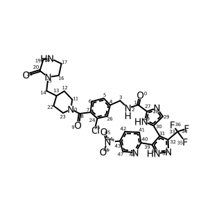 O=C(NCc1ccc(C(=O)N2CCC(CN3CCNCC3=O)CC2)c(Cl)c1)c1ncc(-c2c(C(F)(F)F)n[nH]c2-c2ccc([N+](=O)[O-])cn2)[nH]1